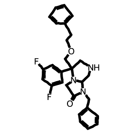 O=C1CN2C(CNCC2(COCCc2ccccc2)c2cc(F)cc(F)c2)N1Cc1ccccc1